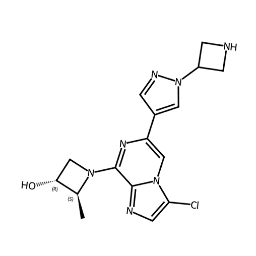 C[C@H]1[C@H](O)CN1c1nc(-c2cnn(C3CNC3)c2)cn2c(Cl)cnc12